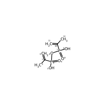 C=C(C)P(=O)(O)OP(=O)(O)C(=C)C